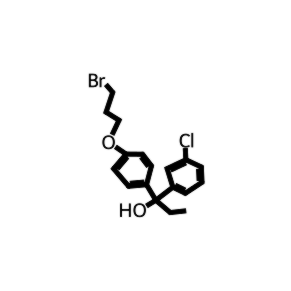 CCC(O)(c1ccc(OCCCBr)cc1)c1cccc(Cl)c1